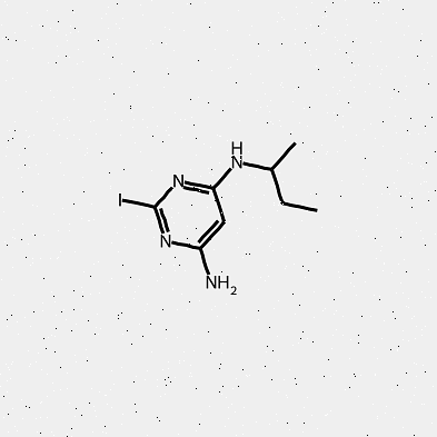 CCC(C)Nc1cc(N)nc(I)n1